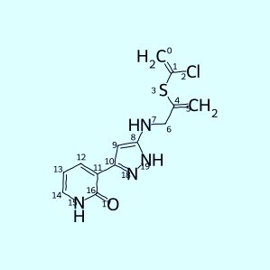 C=C(Cl)SC(=C)CNc1cc(-c2ccc[nH]c2=O)n[nH]1